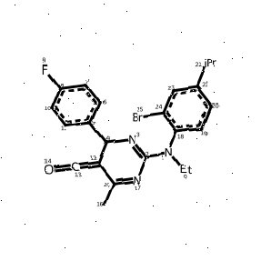 CCN(C1=NC(c2ccc(F)cc2)C(=C=O)C(C)=N1)c1ccc(C(C)C)cc1Br